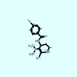 CCC1=C(N(C)N)C(NC(=O)c2ccc(F)cc2)CCN1